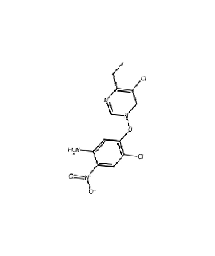 CCC1=C(Cl)CN(Oc2cc(N)c([N+](=O)[O-])cc2Cl)C=N1